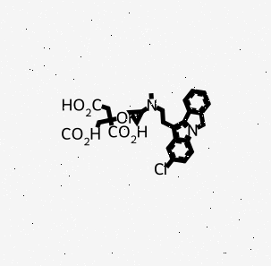 CN(CCc1c2n(c3ccc(Cl)cc13)Cc1ccccc1-2)C1CC1.O=C(O)CC(O)(CC(=O)O)C(=O)O